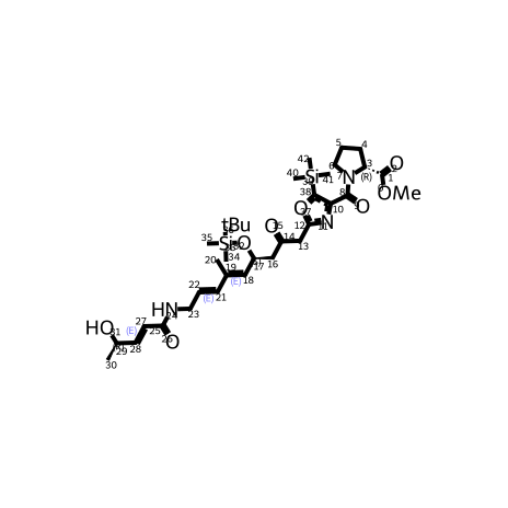 COC(=O)[C@H]1CCCN1C(=O)c1nc(CC(=O)C[C@@H](/C=C(C)/C=C/CNC(=O)/C=C/[C@@H](C)O)O[Si](C)(C)C(C)(C)C)oc1[Si](C)(C)C